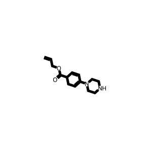 C=CCOC(=O)C1C=CC(N2CCNCC2)=CC1